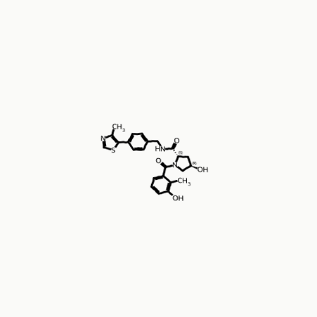 Cc1ncsc1-c1ccc(CNC(=O)[C@@H]2C[C@@H](O)CN2C(=O)c2cccc(O)c2C)cc1